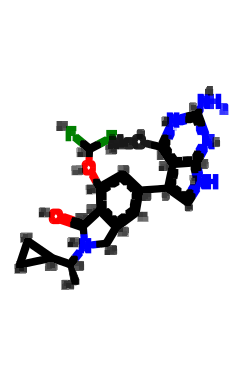 COc1nc(N)nc2[nH]cc(-c3cc4c(c(OC(F)F)c3)C(=O)N([C@@H](C)C3CC3)C4)c12